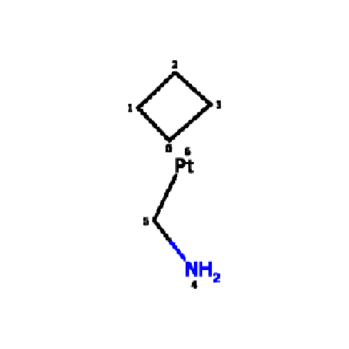 C1CCC1.N[CH2][Pt]